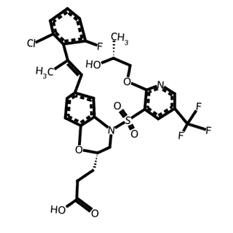 C/C(=C\c1ccc2c(c1)N(S(=O)(=O)c1cc(C(F)(F)F)cnc1OC[C@@H](C)O)C[C@H](CCC(=O)O)O2)c1c(F)cccc1Cl